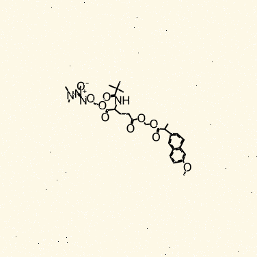 COc1ccc2cc(C(C)C(=O)OCOC(=O)CCC(NC(=O)C(C)(C)C)C(=O)OCO/N=[N+](\[O-])N(C)C)ccc2c1